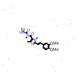 CCNC(=O)N(C)C(=O)c1c(C)nc(/C=C/c2ccc(OC)c(OC)c2)n1C